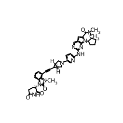 CN(C)C(=O)c1cc2cnc(Nc3ccc(N4C[C@@H]5C(C#Cc6cccc7c6n(C)c(=O)n7[C@H]6CCC(=O)NC6=O)[C@@H]5C4)cn3)nc2n1C1CCCC1